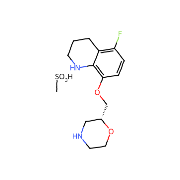 CS(=O)(=O)O.Fc1ccc(OC[C@H]2CNCCO2)c2c1CCCN2